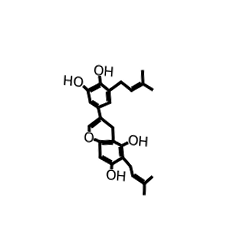 CC(C)=CCc1cc(C2=COc3cc(O)c(CC=C(C)C)c(O)c3C2)cc(O)c1O